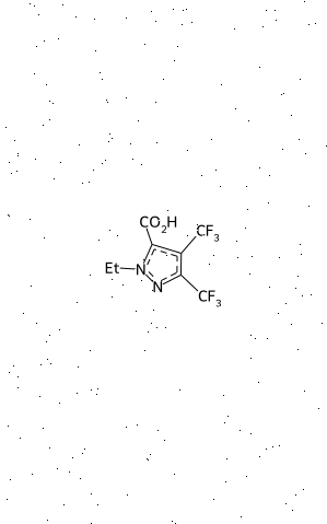 CCn1nc(C(F)(F)F)c(C(F)(F)F)c1C(=O)O